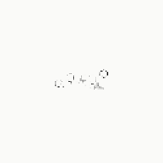 CN[C@H](C(=O)C(CCCC(Cc1ccc(-c2ccccn2)cc1)N(N)C(=O)O)c1ccccc1)C(C)C